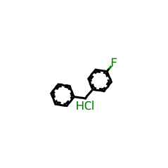 Cl.Fc1ccc(Cc2ccccc2)cc1